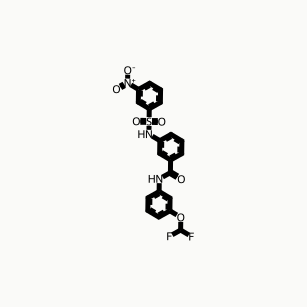 O=C(Nc1cccc(OC(F)F)c1)c1cccc(NS(=O)(=O)c2cccc([N+](=O)[O-])c2)c1